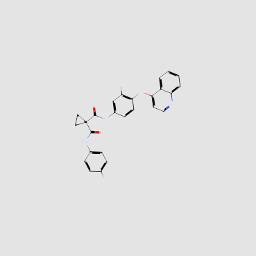 O=C(Nc1ccc(F)cc1)C1(C(=O)Nc2ccc(Oc3ccnc4ccccc34)c(F)c2)CC1